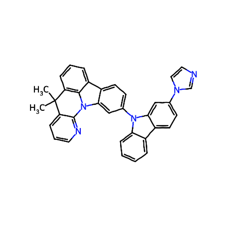 CC1(C)c2cccnc2-n2c3cc(-n4c5ccccc5c5ccc(-n6ccnc6)cc54)ccc3c3cccc1c32